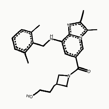 Cc1cccc(C)c1CNc1cc(C(=O)N2CC(CCO)C2)cn2c(C)c(C)nc12